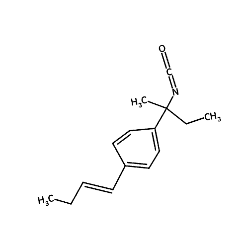 CCC=Cc1ccc(C(C)(CC)N=C=O)cc1